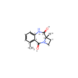 Cc1cccc2c1C(=O)N1CC[C@H]1C(=O)N2